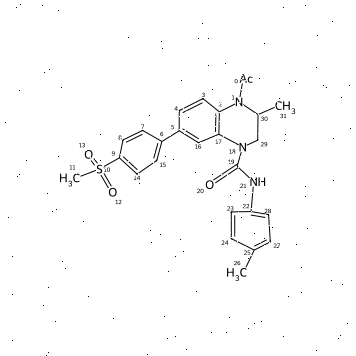 CC(=O)N1c2ccc(-c3ccc(S(C)(=O)=O)cc3)cc2N(C(=O)Nc2ccc(C)cc2)CC1C